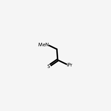 CNCC(=S)C(C)C